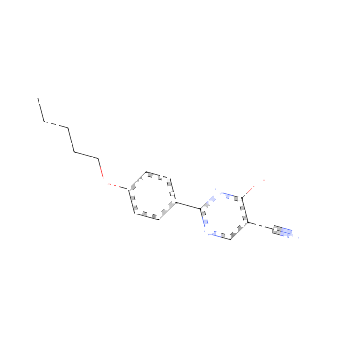 CCCCCOc1ccc(-c2ncc(C#N)c(O)n2)cc1